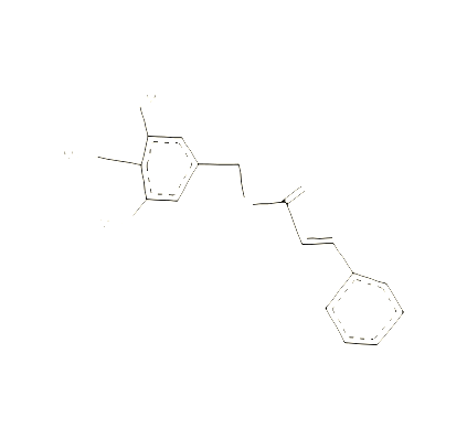 COc1cc(COC(=O)/C=C/c2ccccc2)cc(OC)c1OC